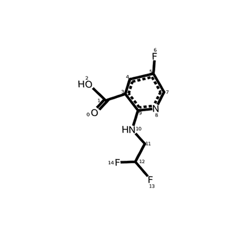 O=C(O)c1cc(F)cnc1NCC(F)F